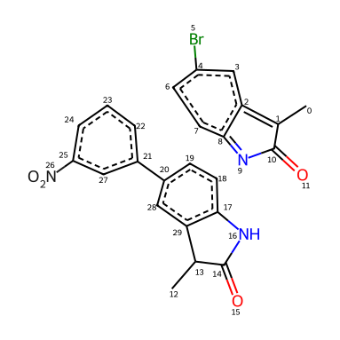 CC1=c2cc(Br)ccc2=NC1=O.CC1C(=O)Nc2ccc(-c3cccc([N+](=O)[O-])c3)cc21